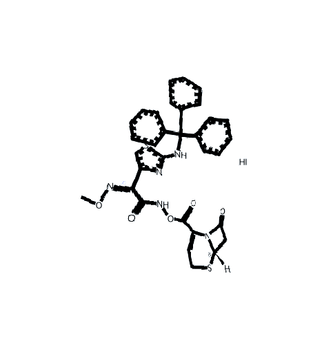 CO/N=C(\C(=O)NOC(=O)C1=CCS[C@H]2CC(=O)N12)c1csc(NC(c2ccccc2)(c2ccccc2)c2ccccc2)n1.I